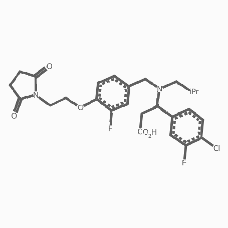 CC(C)CN(Cc1ccc(OCCN2C(=O)CCC2=O)c(F)c1)C(CC(=O)O)c1ccc(Cl)c(F)c1